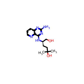 CC(C)(O)CC[C@H](CO)Nc1nc(N)nc2cccnc12